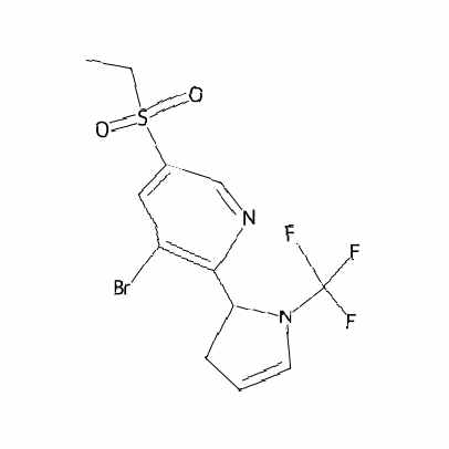 CCS(=O)(=O)c1cnc(C2CC=CN2C(F)(F)F)c(Br)c1